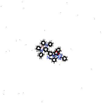 N#Cc1cccc(-c2nc(-c3ccccc3)nc(-c3ccccc3)n2)c1-n1c2ccccc2c2cc(-c3cc4c5c(c3)N(c3ccccc3)c3ccccc3B5c3ccccc3N4c3ccccc3)ccc21